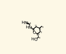 CC1C[C@@H](CO)O[C@@H](NC=N)C1